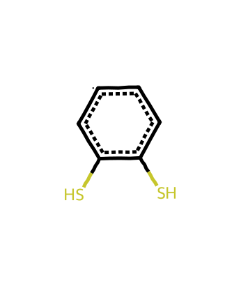 Sc1c[c]ccc1S